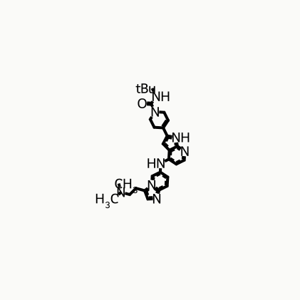 CN(C)CCc1cnc2ccc(Nc3ccnc4[nH]c(C5=CCN(C(=O)NC(C)(C)C)CC5)cc34)cn12